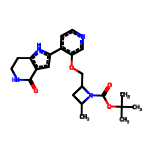 CC1CC(COc2cnccc2-c2cc3c([nH]2)CCNC3=O)N1C(=O)OC(C)(C)C